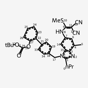 CCCc1nc2c(C)cc(NC(SC)=C(C#N)C#N)cc2n1Cc1ccc(-c2ccccc2OC(=O)OC(C)(C)C)cc1